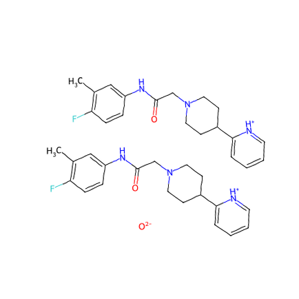 Cc1cc(NC(=O)CN2CCC(c3cccc[nH+]3)CC2)ccc1F.Cc1cc(NC(=O)CN2CCC(c3cccc[nH+]3)CC2)ccc1F.[O-2]